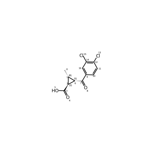 C[C@H]1[C@H](C(=O)O)[C@H]1C(=O)c1ccc(Cl)c(Cl)c1